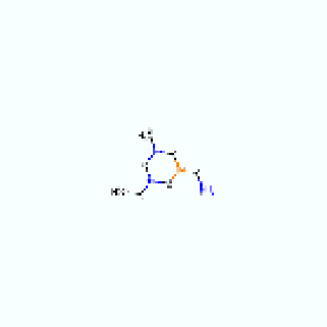 CCN1CN(C)CP(CN)C1